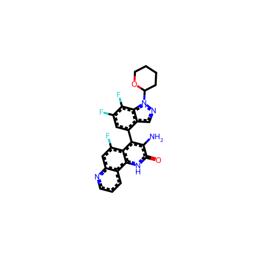 Nc1c(-c2cc(F)c(F)c3c2cnn3C2CCCCO2)c2c(F)cc3ncccc3c2[nH]c1=O